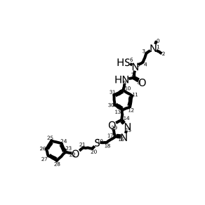 CN(C)CCN(S)C(=O)Nc1ccc(-c2nnc(CSCCOc3ccccc3)o2)cc1